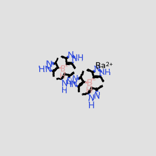 Cc1n[nH]c(C)c1[BH-](c1c(C)n[nH]c1C)c1c(C)n[nH]c1C.Cc1n[nH]c(C)c1[BH-](c1c(C)n[nH]c1C)c1c(C)n[nH]c1C.[Ba+2]